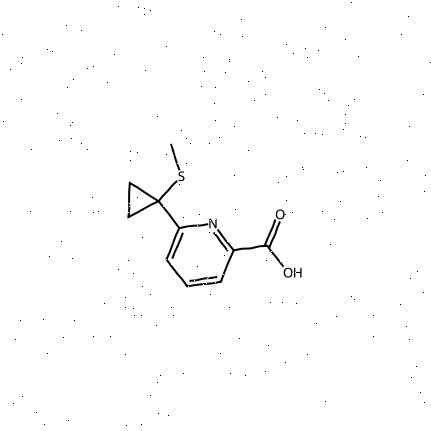 CSC1(c2cccc(C(=O)O)n2)CC1